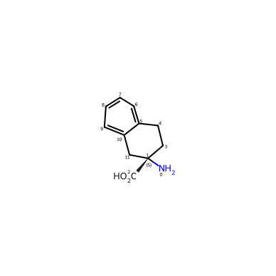 N[C@@]1(C(=O)O)CCc2ccccc2C1